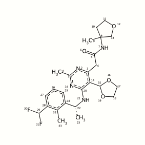 Cc1nc(CC(=O)NC2(C)CCOC2)c(C2OCCO2)c(N[C@H](C)c2cccc(C(F)F)c2C)n1